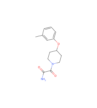 Cc1cccc(OC2CCN(C(=O)C(N)=O)CC2)c1